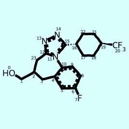 OCC1Cc2cc(F)ccc2-n2c(nnc2[C@H]2CC[C@H](C(F)(F)F)CC2)C1